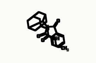 CCNC(=O)OC12CC3CC(C1)C(N1C(=O)c4ccccc4C1=O)C(C3)C2